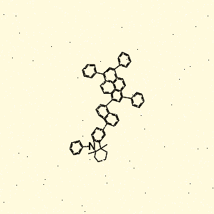 CC12CCCCC1(C)N(c1ccccc1)c1ccc(-c3cccc4c(-c5cc(-c6ccccc6)c6ccc7c(-c8ccccc8)cc(-c8ccccc8)c8ccc5c6c78)cccc34)cc12